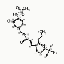 CCCc1nc(C(F)(F)F)ccc1C=CC(=O)NCc1ccc(NS(C)(=O)=O)c(Cl)c1